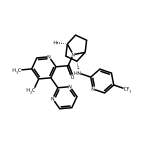 Cc1cnc(C(=O)N2C3CC[C@@H]2C[C@H]3Nc2ccc(C(F)(F)F)cn2)c(-c2ncccn2)c1C